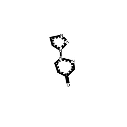 O=c1ccn(-n2ccnn2)nc1